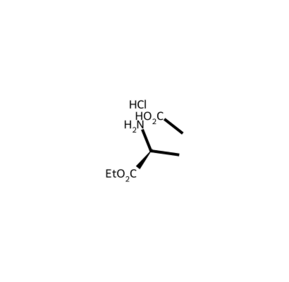 CC(=O)O.CCOC(=O)[C@H](C)N.Cl